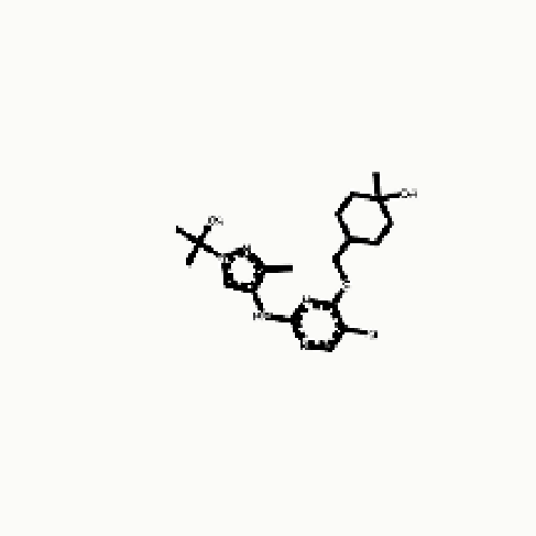 Cc1nn(C(C)(C)C#N)cc1Nc1ncc(Cl)c(OCC2CCC(C)(O)CC2)n1